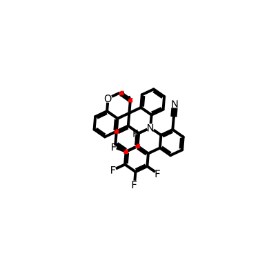 N#Cc1cccc(-c2c(F)c(F)c(F)c(F)c2F)c1N1c2ccccc2C2(c3ccccc3Oc3ccccc32)c2ccccc21